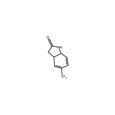 O=C1CC2C=C(C(F)(F)F)C=CC2N1